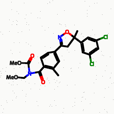 COCN(C(=O)OC)C(=O)c1ccc(C2=NOC(C)(c3cc(Cl)cc(Cl)c3)C2)cc1C